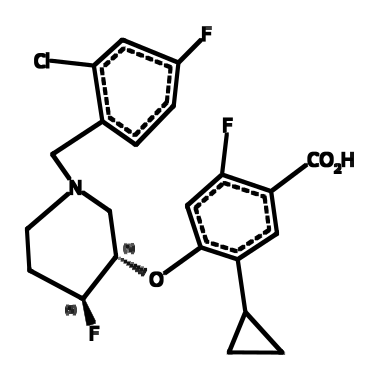 O=C(O)c1cc(C2CC2)c(O[C@H]2CN(Cc3ccc(F)cc3Cl)CC[C@@H]2F)cc1F